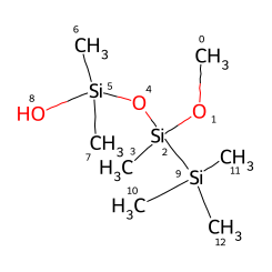 CO[Si](C)(O[Si](C)(C)O)[Si](C)(C)C